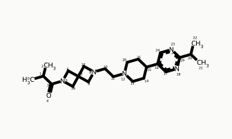 CC(C)C(=O)N1CC2(CN(CCN3CCC(c4cnc(C(C)C)nc4)CC3)C2)C1